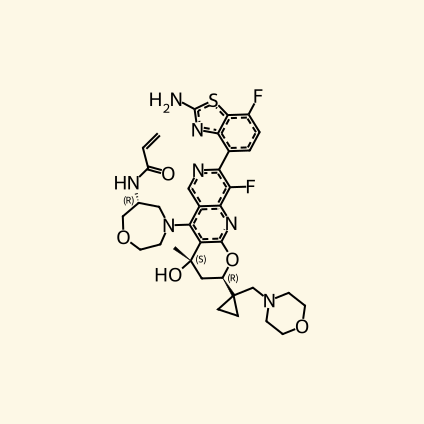 C=CC(=O)N[C@H]1COCCN(c2c3c(nc4c(F)c(-c5ccc(F)c6sc(N)nc56)ncc24)O[C@@H](C2(CN4CCOCC4)CC2)C[C@]3(C)O)C1